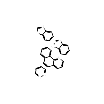 c1ccc2[nH]nnc2c1.c1ccc2c(c1)ccc1cccnc12.c1ccc2scnc2c1.c1ccnnc1